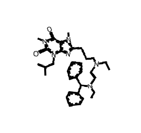 CCN(CCCc1nc2c(c(=O)n(C)c(=O)n2CC(C)C)n1C)CCN(CC)C(c1ccccc1)c1ccccc1